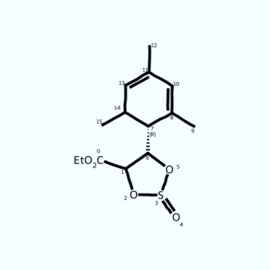 CCOC(=O)C1OS(=O)OC1[C@H]1C(C)=CC(C)=CC1C